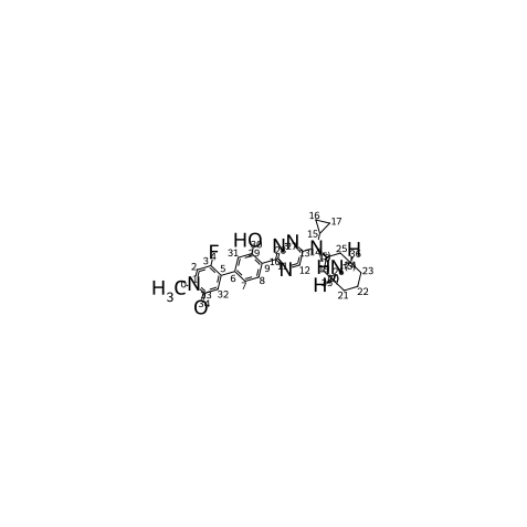 Cn1cc(F)c(-c2ccc(-c3ncc(N(C4CC4)[C@@H]4C[C@H]5CCC[C@@H](C4)N5)nn3)c(O)c2)cc1=O